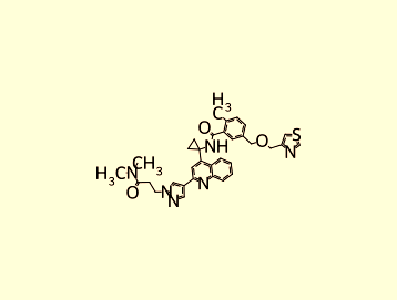 Cc1ccc(COCc2cscn2)cc1C(=O)NC1(c2cc(-c3cnn(CCC(=O)N(C)C)c3)nc3ccccc23)CC1